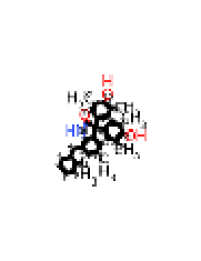 Cc1cc(Cc2ccccc2C)c2c(c1)C(c1cc(C)c(O)c(C)c1)(c1cc(C)c(O)c(C)c1)C(=O)N2